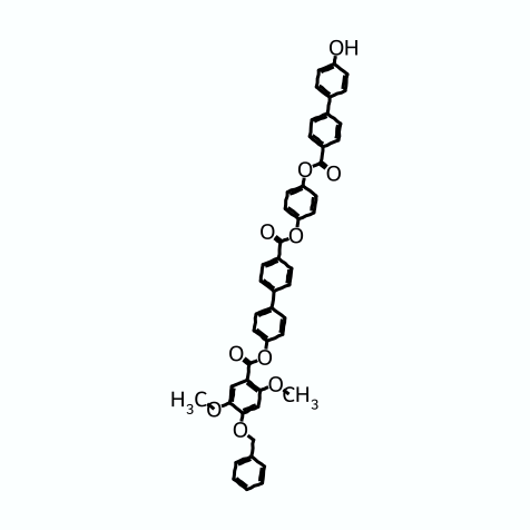 COc1cc(C(=O)Oc2ccc(-c3ccc(C(=O)Oc4ccc(OC(=O)c5ccc(-c6ccc(O)cc6)cc5)cc4)cc3)cc2)c(OC)cc1OCc1ccccc1